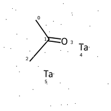 CC(C)=O.[Ta].[Ta]